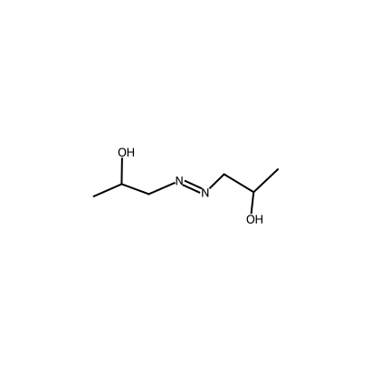 CC(O)C/N=N/CC(C)O